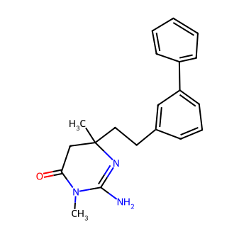 CN1C(=O)CC(C)(CCc2cccc(-c3ccccc3)c2)N=C1N